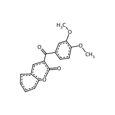 COc1ccc(C(=O)c2cc3ccccc3oc2=O)cc1OC